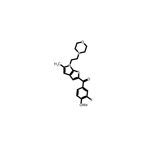 COc1ccc(C(=O)c2cc3cc(C)n(CCN4CCOCC4)c3s2)cc1F